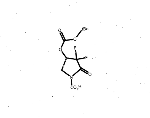 CC(C)(C)OC(=O)OC1CN(C(=O)O)C(=O)C1(F)F